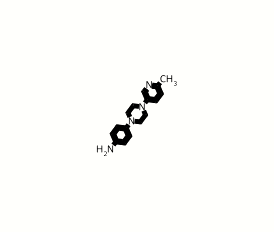 Cc1ccc(N2CCN(c3ccc(N)cc3)CC2)cn1